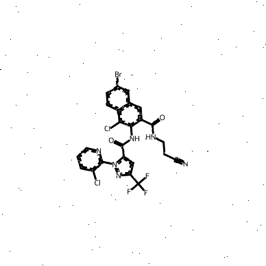 N#CCCNC(=O)c1cc2cc(Br)ccc2c(Cl)c1NC(=O)c1cc(C(F)(F)F)nn1-c1ncccc1Cl